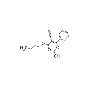 CCCCOC(=O)/C(C#N)=C(\OCC)c1ccccc1